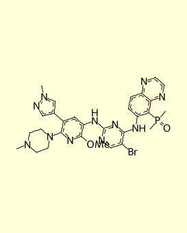 COc1nc(N2CCN(C)CC2)c(-c2cnn(C)c2)cc1Nc1ncc(Br)c(Nc2ccc3nccnc3c2P(C)(C)=O)n1